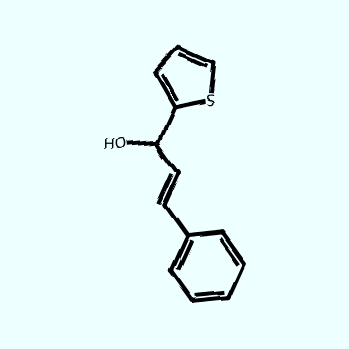 OC(C=Cc1ccccc1)c1cccs1